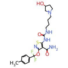 Cc1ccc(C(F)(F)Oc2nsc(NC(=O)NCCCCN3CCC(O)C3)c2C(N)=O)cc1